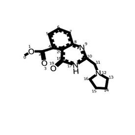 COC(=O)c1cccc2nc(CN3CCCC3)[nH]c(=O)c12